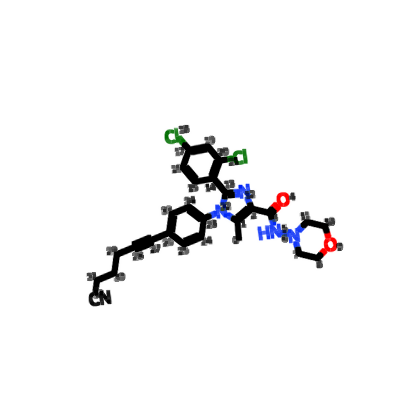 Cc1c(C(=O)NN2CCOCC2)nc(-c2ccc(Cl)cc2Cl)n1-c1ccc(C#CCCCC#N)cc1